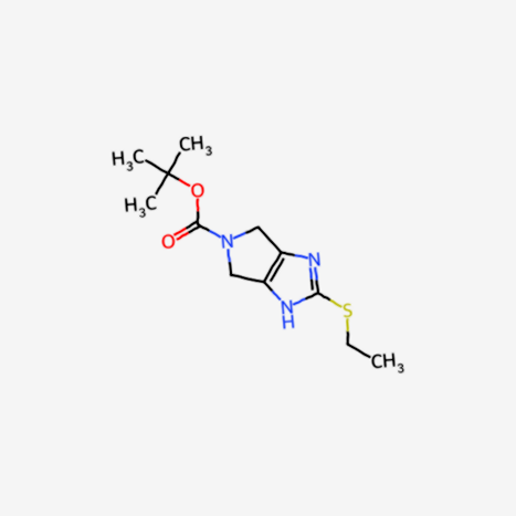 CCSc1nc2c([nH]1)CN(C(=O)OC(C)(C)C)C2